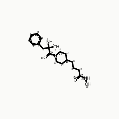 CC(N)(Cc1ccccc1)C(=O)N1CCC(CCCC(=O)NO)CC1